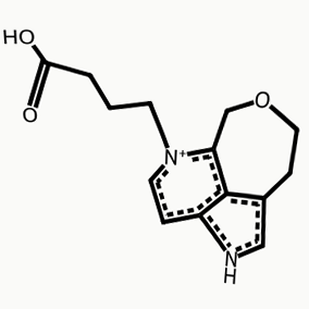 O=C(O)CCC[n+]1ccc2[nH]cc3c2c1COCC3